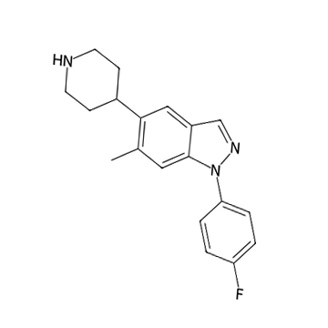 Cc1cc2c(cnn2-c2ccc(F)cc2)cc1C1CCNCC1